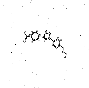 CCCCc1ccc(-c2cc(-c3ccc(C(C)=O)cc3)no2)cc1